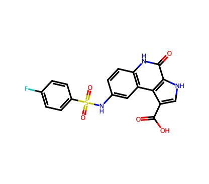 O=C(O)c1c[nH]c2c(=O)[nH]c3ccc(NS(=O)(=O)c4ccc(F)cc4)cc3c12